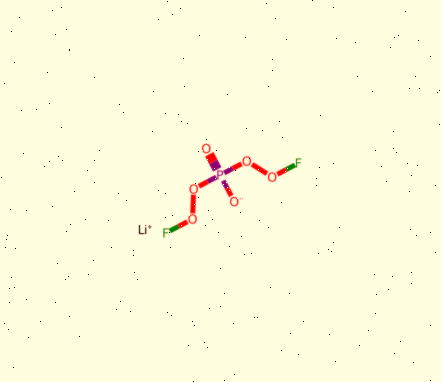 O=P([O-])(OOF)OOF.[Li+]